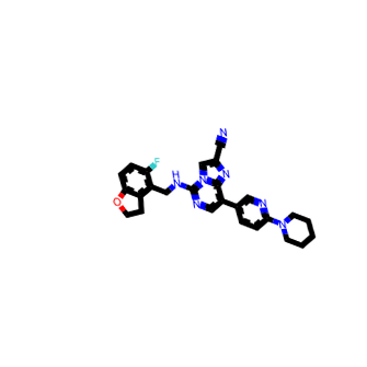 N#Cc1cn2c(NCc3c(F)ccc4c3CCO4)ncc(-c3ccc(N4CCCCC4)nc3)c2n1